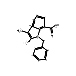 Cc1c(C)n(Cc2ccccc2)c2c(C(=O)O)cccc12